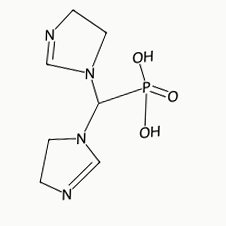 O=P(O)(O)C(N1C=NCC1)N1C=NCC1